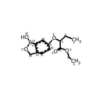 CCOC(=O)C(CC)Oc1ccc2c(c1)B(O)OC2